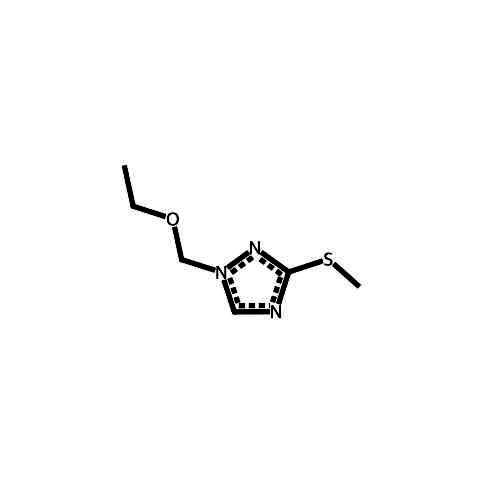 CCOCn1cnc(SC)n1